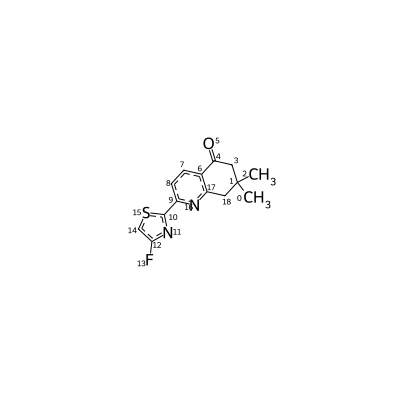 CC1(C)CC(=O)c2ccc(-c3nc(F)cs3)nc2C1